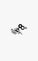 CC1(C)OB(c2cccc3c2CCNC3)OC1(C)C